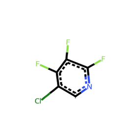 Fc1n[c]c(Cl)c(F)c1F